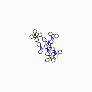 c1ccc(N(c2ccccc2)c2cc3c4c(c2)N(c2cccc([Si](c5ccccc5)(c5ccccc5)c5ccccc5)c2)c2cc(-n5c6ccccc6c6ccccc65)ccc2B4c2ccc(-n4c5ccccc5c5ccccc54)cc2N3c2ccc(-c3cccc([Si](c4ccccc4)(c4ccccc4)c4ccccc4)c3)cc2)cc1